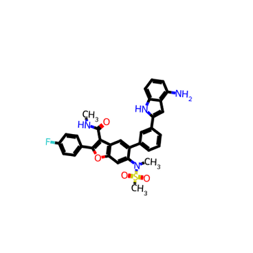 CNC(=O)c1c(-c2ccc(F)cc2)oc2cc(N(C)S(C)(=O)=O)c(-c3cccc(-c4cc5c(N)cccc5[nH]4)c3)cc12